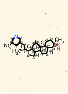 C[C@@H](Cc1cncc(C#N)c1)[C@H]1CC[C@H]2[C@@H]3CC[C@@H]4C[C@](C)(O)CC[C@]4(C)[C@H]3CC[C@]12C